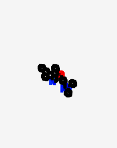 c1ccc(-n2c(-c3ccc(Oc4c5ccccc5c(-c5cc6ccccc6c6ccccc56)c5cnccc45)cc3)nc3ccccc32)cc1